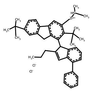 CCCC1=Cc2c(-c3ccccc3)cccc2C1c1c2c(c[c]([Zr+2][SiH](C)C)c1C(C)(C)C)-c1ccc(C(C)(C)C)cc1C2.[Cl-].[Cl-]